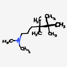 CN(C)CCCC(C)(C)C(C)(C)C